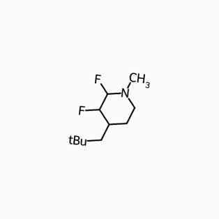 CN1CCC(CC(C)(C)C)C(F)C1F